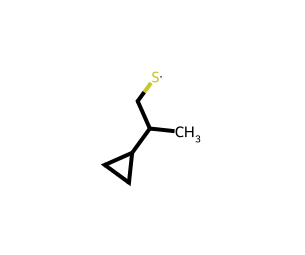 CC(C[S])C1CC1